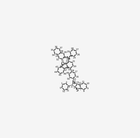 c1ccc(C2c3sc4ccccc4c3N2c2ccc(-c3ccc(N(c4ccccc4)c4ccc5ccccc5c4)c4oc5ccccc5c34)cc2)cc1